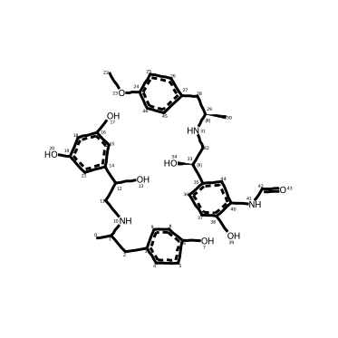 CC(Cc1ccc(O)cc1)NCC(O)c1cc(O)cc(O)c1.COc1ccc(C[C@@H](C)NC[C@H](O)c2ccc(O)c(NC=O)c2)cc1